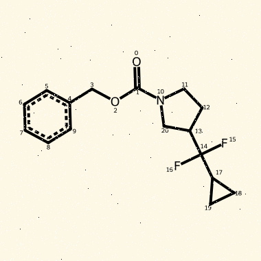 O=C(OCc1ccccc1)N1CCC(C(F)(F)C2CC2)C1